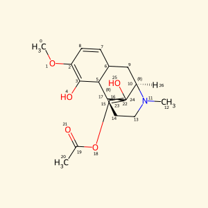 COC1=C(O)C2C(C=C1)C[C@H]1N(C)CC[C@@]23CC(OC(C)=O)=CCC13O